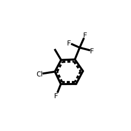 Cc1c(C(F)(F)F)ccc(F)c1Cl